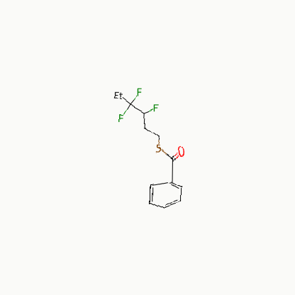 CCC(F)(F)C(F)CCSC(=O)c1ccccc1